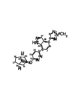 Cn1ncc(-c2ccc(-c3ccc(OC4C[C@H]5CC[C@@H](C4)N5)nn3)c3[nH]ncc23)n1